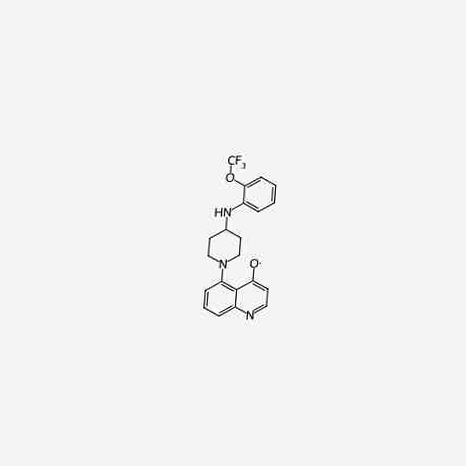 [O]c1ccnc2cccc(N3CCC(Nc4ccccc4OC(F)(F)F)CC3)c12